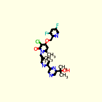 C\C=C(/N=C\C(C)=C\n1c(C)cc(OCc2ncc(F)cc2F)c(Cl)c1=O)c1cncc(C(C)(C)O)n1